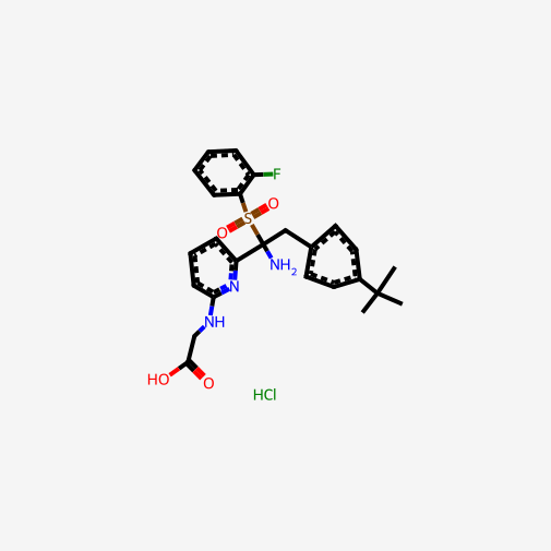 CC(C)(C)c1ccc(CC(N)(c2cccc(NCC(=O)O)n2)S(=O)(=O)c2ccccc2F)cc1.Cl